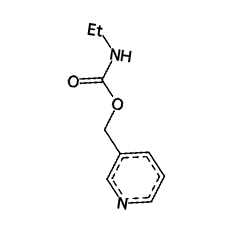 CCNC(=O)OCc1cccnc1